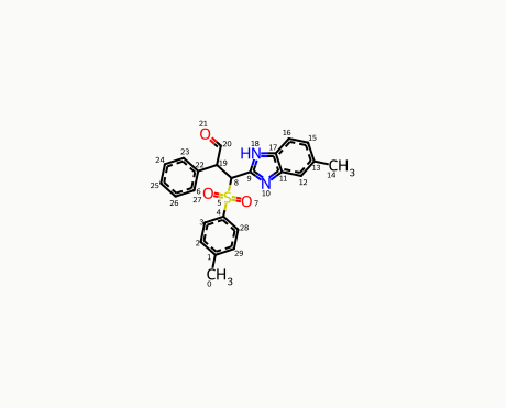 Cc1ccc(S(=O)(=O)C(c2nc3cc(C)ccc3[nH]2)C(C=O)c2ccccc2)cc1